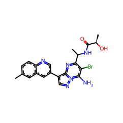 Cc1ccc2ncc(-c3cnn4c(N)c(Br)c(C(C)NC(=O)[C@@H](C)O)nc34)cc2c1